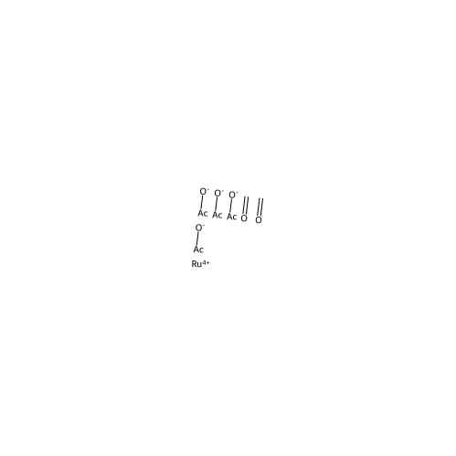 C=O.C=O.CC(=O)[O-].CC(=O)[O-].CC(=O)[O-].CC(=O)[O-].[Ru+4]